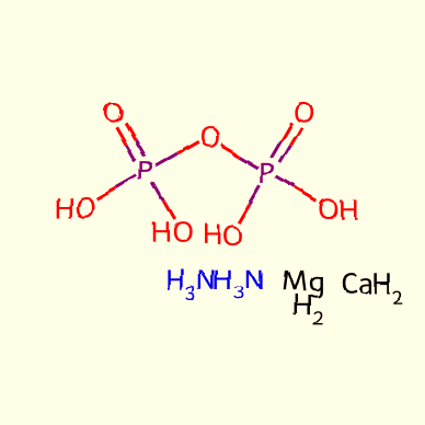 N.N.O=P(O)(O)OP(=O)(O)O.[CaH2].[MgH2]